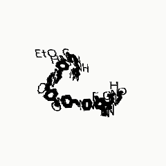 CCOC(=O)c1cnc(Nc2cnn(C)c2)nc1NC1CCC(N2CCN(C(=O)C3CCC(C(=O)N4CCC(CCN5CCN(c6cc7c(cc6F)c(N6CCC(=O)NC6=O)nn7C)CC5)CC4)CC3)CC2)CC1